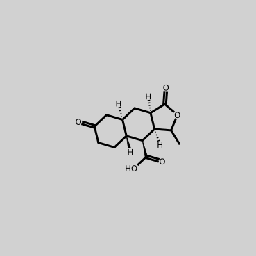 CC1OC(=O)[C@@H]2C[C@@H]3CC(=O)CC[C@H]3[C@H](C(=O)O)[C@H]12